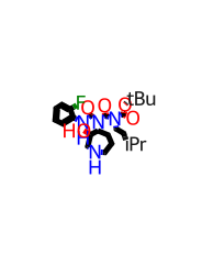 CC(C)CCN(C(=O)OC(C)(C)C)C(=O)N(C(=O)Nc1ccccc1F)C1CCCNCC1O